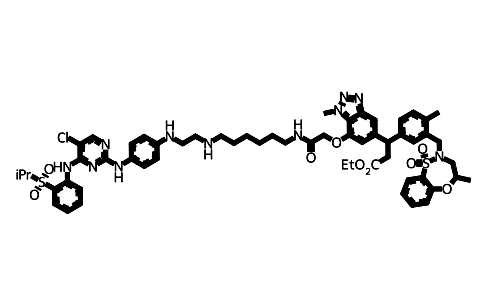 CCOC(=O)CC(c1ccc(C)c(CN2CC(C)Oc3ccccc3S2(=O)=O)c1)c1cc(OCC(=O)NCCCCCCNCCNc2ccc(Nc3ncc(Cl)c(Nc4ccccc4S(=O)(=O)C(C)C)n3)cc2)c2c(c1)nnn2C